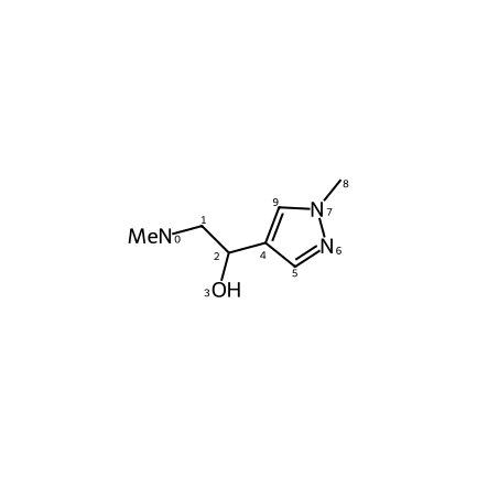 CNCC(O)c1cnn(C)c1